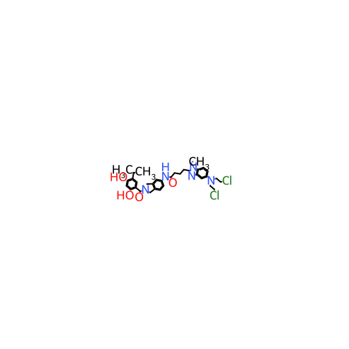 CC(C)c1cc(C(=O)N2Cc3ccc(NC(=O)CCCc4nc5cc(N(CCCl)CCCl)ccc5n4C)cc3C2)c(O)cc1O